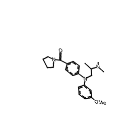 COc1cccc(N(CC(C)N(C)C)c2ccc(C(=O)N3CCCC3)cc2)c1